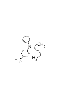 C=C/C(=C\C=C/C)N(c1ccccc1)c1ccc(C)cc1